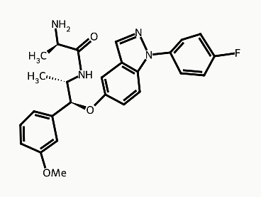 COc1cccc([C@H](Oc2ccc3c(cnn3-c3ccc(F)cc3)c2)[C@H](C)NC(=O)[C@@H](C)N)c1